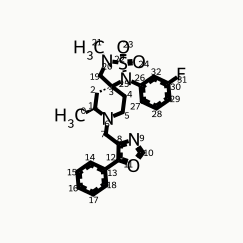 C[C@H]1C[C@]2(CCN1Cc1ncoc1-c1ccccc1)CN(C)S(=O)(=O)N2c1cccc(F)c1